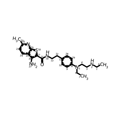 CCNCCN(CC)c1ccc(CCNC(=O)c2sc3nc(C)ccc3c2N)cc1